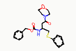 O=C(NC(CSc1ccccc1)CC(=O)N1CCOCC1)OCc1ccccc1